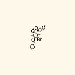 COCOC(=O)c1c(C)c(Br)c(OCc2ccccc2)c(C)c1OC